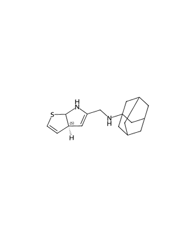 C1=C[C@@H]2C=C(CNC34CC5CC(CC(C5)C3)C4)NC2S1